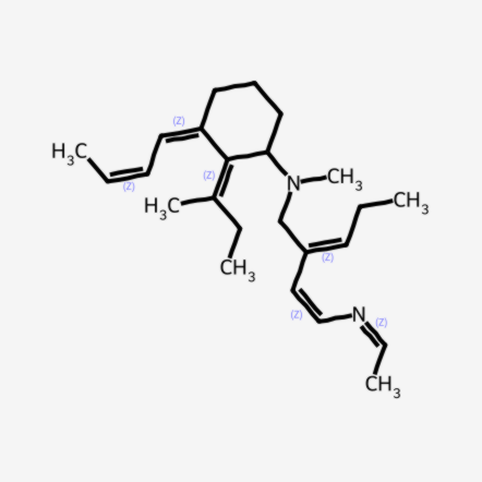 C\C=C/C=C1/CCCC(N(C)CC(/C=C\N=C/C)=C\CC)/C1=C(/C)CC